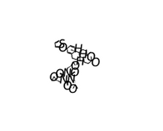 C[C@]12C=CC(=O)C=C1CC[C@@H]1[C@@H]2CC[C@]2(C)OC(=O)CC[C@@H]12.O=c1n(C[C@H]2CO2)c(=O)n(C[C@@H]2CO2)c(=O)n1C[C@H]1CO1.c1ccsc1